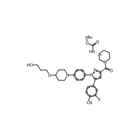 CCCCOC(=O)N[C@@H]1CCCN(C(=O)c2cc(-c3ccc(C#N)c(F)c3)n(-c3ccc(N4CCC(OCCCO)CC4)cc3)n2)C1